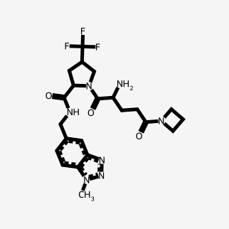 Cn1nnc2cc(CNC(=O)C3CC(C(F)(F)F)CN3C(=O)C(N)CCC(=O)N3CCC3)ccc21